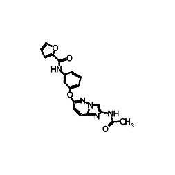 CC(=O)Nc1cn2nc(Oc3cccc(NC(=O)c4ccco4)c3)ccc2n1